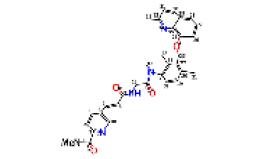 CNC(=O)c1ccc(C=CC(=O)NCC(=O)N(C)c2ccc(C)c(COc3cccc4ccc(C)nc34)c2C)cn1